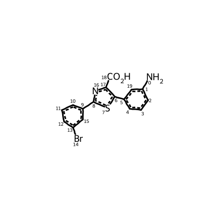 Nc1cccc(-c2sc(-c3cccc(Br)c3)nc2C(=O)O)c1